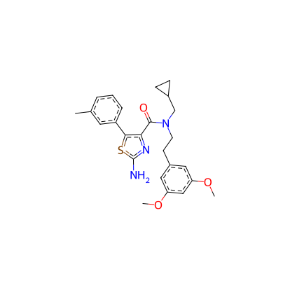 COc1cc(CCN(CC2CC2)C(=O)c2nc(N)sc2-c2cccc(C)c2)cc(OC)c1